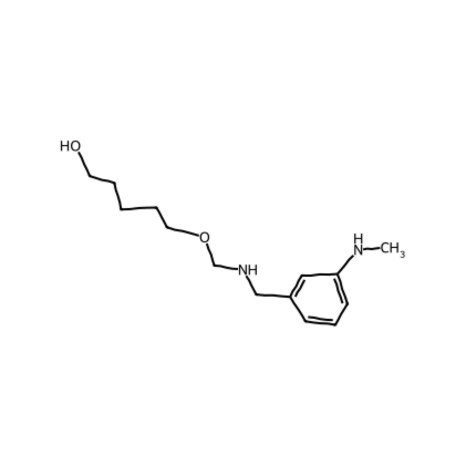 CNc1cccc(CNCOCCCCCO)c1